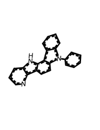 c1ccc(-n2c3ccccc3c3c4[nH]c5cccnc5c4ccc32)cc1